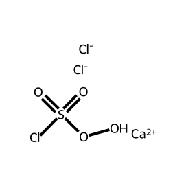 O=S(=O)(Cl)OO.[Ca+2].[Cl-].[Cl-]